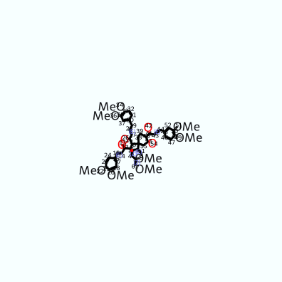 C\C=C(/C=C\C(=C\OC)OC)C1(C(CC(=O)/C=C/C2=CC=C(OC)C(OC)C=C2)C(=O)/C=C/Cc2ccc(OC)c(OC)c2)CCC(C(=O)/C=C/c2ccc(OC)c(OC)c2)C(=O)C1